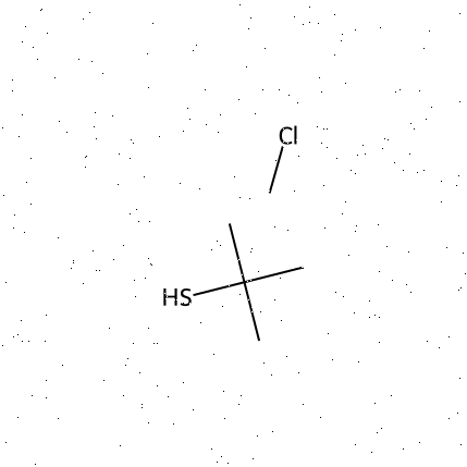 CC(C)(C)S.CCl